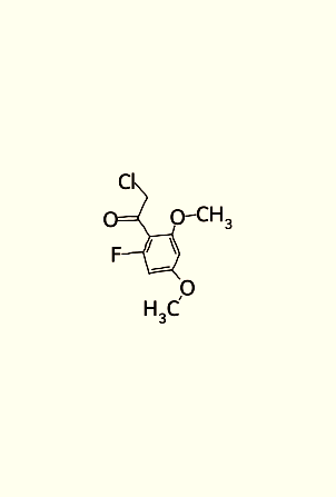 COc1cc(F)c(C(=O)CCl)c(OC)c1